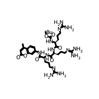 Cc1cc(=O)oc2cc(NC(=O)[C@H](CCCN=C(N)N)NC(=O)[C@H](CCCN=C(N)N)NC(=O)[C@H](CCCN=C(N)N)NC(=O)OC(C)(C)C)ccc12